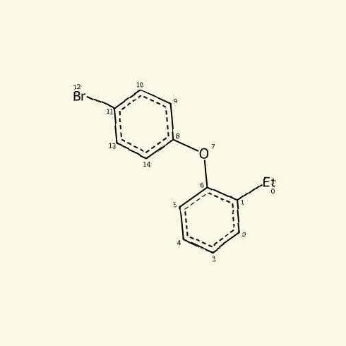 CCc1ccccc1Oc1ccc(Br)cc1